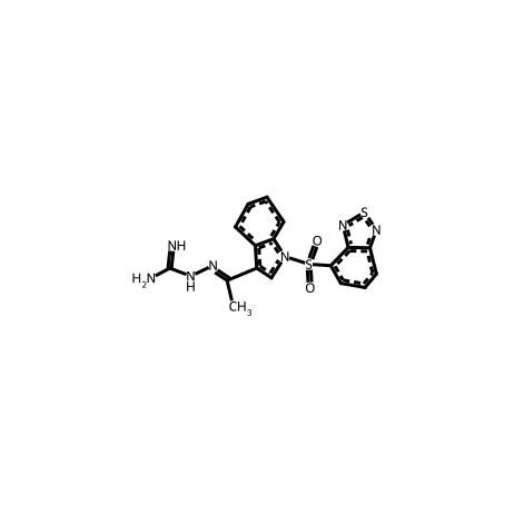 CC(=NNC(=N)N)c1cn(S(=O)(=O)c2cccc3nsnc23)c2ccccc12